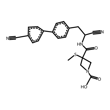 CSC1(C(=O)NC(C#N)Cc2ccc(-c3ccc(C#N)cc3)cc2)CN(C(=O)O)C1